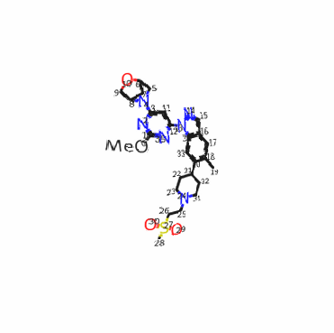 COc1nc(N2CC3CC2CO3)cc(-n2ncc3cc(C)c(C4CCN(CCS(C)(=O)=O)CC4)cc32)n1